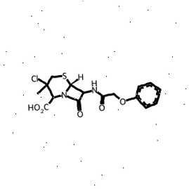 CC1(Cl)CS[C@@H]2C(NC(=O)COc3ccccc3)C(=O)N2C1C(=O)O